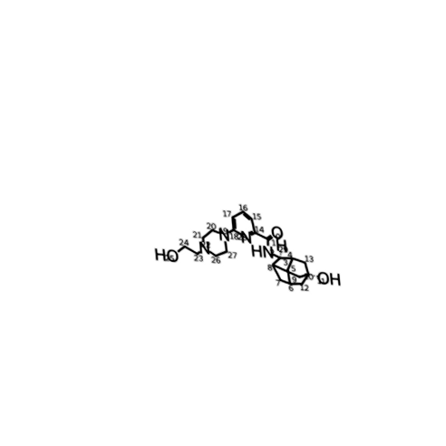 O=C(N[C@H]1C2CC3CC1C[C@](O)(C3)C2)c1cccc(N2CCN(CCO)CC2)n1